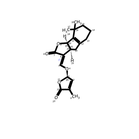 CC1=C[C@H](O/C=C2/C(=O)O[C@H]3C4=C(CCCC4(C)C)C[C@@H]23)OC1=O